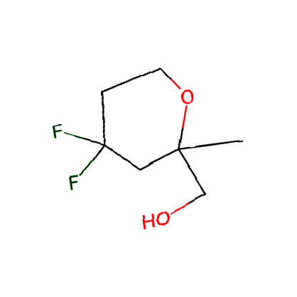 CC1(CO)CC(F)(F)CCO1